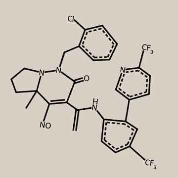 C=C(Nc1ccc(C(F)(F)F)cc1-c1ccc(C(F)(F)F)nc1)C1=C(N=O)C2(C)CCCN2N(Cc2ccccc2Cl)C1=O